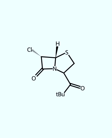 CC(C)(C)C(=O)C1CS[C@H]2[C@@H](Cl)C(=O)N12